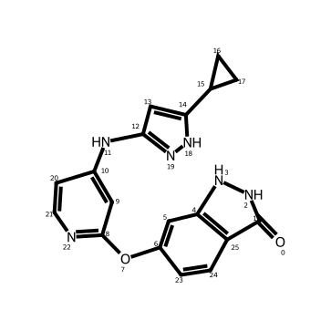 O=c1[nH][nH]c2cc(Oc3cc(Nc4cc(C5CC5)[nH]n4)ccn3)ccc12